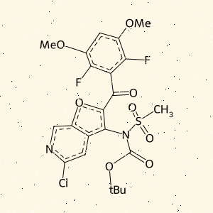 COc1cc(OC)c(F)c(C(=O)c2oc3cnc(Cl)cc3c2N(C(=O)OC(C)(C)C)S(C)(=O)=O)c1F